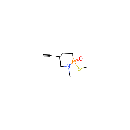 C#CC1CCP(=O)(SC)N(C)C1